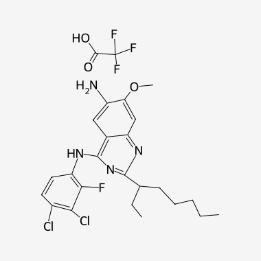 CCCCCC(CC)c1nc(Nc2ccc(Cl)c(Cl)c2F)c2cc(N)c(OC)cc2n1.O=C(O)C(F)(F)F